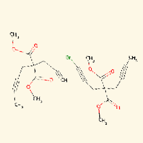 C#CCC(CC#CC)(C(=O)OC)C(=O)OC.CC#CCC(CC#CBr)(C(=O)OC)C(=O)OC